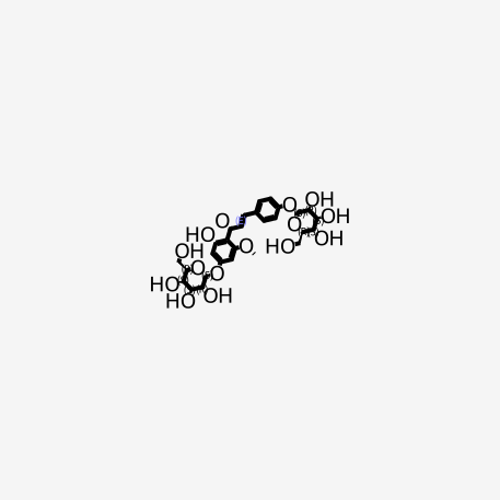 COc1cc(O[C@@H]2O[C@H](CO)[C@@H](O)[C@H](O)[C@H]2O)cc(O)c1C(=O)/C=C/c1ccc(O[C@@H]2O[C@H](CO)[C@@H](O)[C@H](O)[C@H]2O)cc1